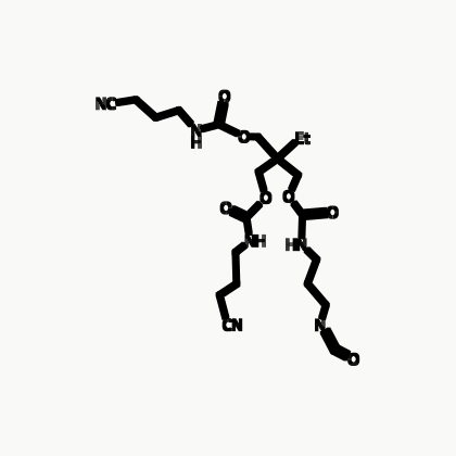 CCC(COC(=O)NCCCC#N)(COC(=O)NCCCC#N)COC(=O)NCCCN=C=O